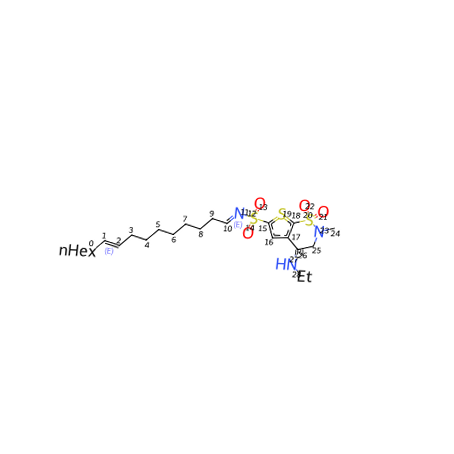 CCCCCC/C=C/CCCCCCC/C=N/S(=O)(=O)c1cc2c(s1)S(=O)(=O)N(C)C[C@@H]2NCC